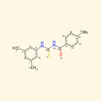 Cc1cc(C)cc(NC(=S)NC(=O)c2ccc(C(C)(C)C)cc2)c1